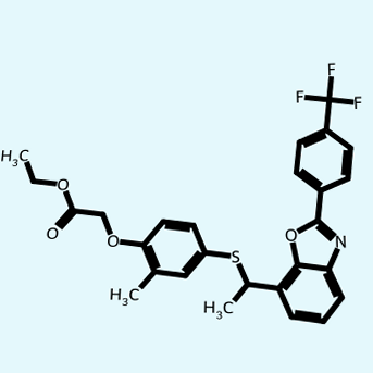 CCOC(=O)COc1ccc(SC(C)c2cccc3nc(-c4ccc(C(F)(F)F)cc4)oc23)cc1C